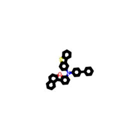 c1ccc(-c2ccc(N(c3ccc4sc5ccccc5c4c3)c3cccc4c3oc3ccc5ccccc5c34)cc2)cc1